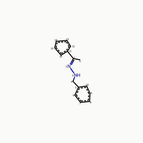 C/C(=N\NCc1ccccc1)c1ccccc1